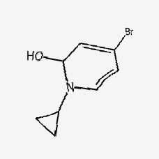 OC1C=C(Br)C=CN1C1CC1